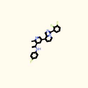 C=C(Nc1ccc(F)cc1)c1cc(-c2cccn3c(-c4cccc(F)c4F)ncc23)cnc1C